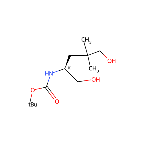 CC(C)(CO)C[C@@H](CO)NC(=O)OC(C)(C)C